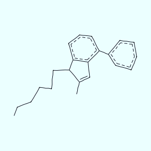 CCCCCCC1C(C)=Cc2c(-c3ccccc3)cccc21